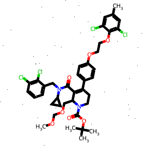 COCOCC1C(C(=O)N(Cc2cccc(Cl)c2Cl)C2CC2)=C(c2ccc(OCCOc3c(Cl)cc(C)cc3Cl)cc2)CCN1C(=O)OC(C)(C)C